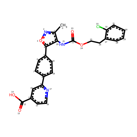 Cc1noc(-c2ccc(-c3cc(C(=O)O)ccn3)cc2)c1NC(=O)OCCc1ccccc1Cl